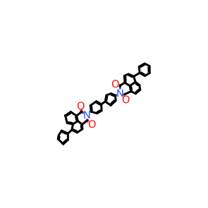 O=C1c2cccc3c(-c4ccccc4)ccc(c23)C(=O)N1c1ccc(-c2ccc(N3C(=O)c4cccc5c(-c6ccccc6)ccc(c45)C3=O)cc2)cc1